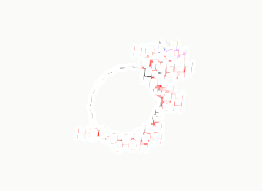 C[C@H]1C[C@H](O)[C@@H](C)/C=C/C=C/C=C/C=C/C=C/C=C/C=C/C(O[C@@H]2OC[C@@H](O)[C@H](N)[C@@H]2O)C[C@@H]2O[C@](O)(C[C@@H](O)[C@H](O)CCC(=O)C[C@@H](O)C[C@@H](O)CC(=O)O1)C[C@H](O)[C@H]2C(=O)O